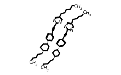 CCCCCCc1cnc(C#Cc2ccc([C@H]3CC[C@H](CCCCC)CC3)cc2)nc1.CCCCCc1cnc(C#Cc2ccc([C@H]3CC[C@H](CCCCC)CC3)cc2)nc1